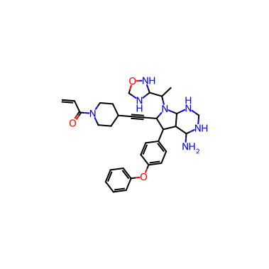 C=CC(=O)N1CCC(C#CC2C(c3ccc(Oc4ccccc4)cc3)C3C(N)NCNC3N2C(C)C2NCON2)CC1